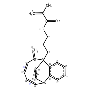 C=C(C)C(=O)OCCCC12C(=C)/C=C\C=C/C(c3ccccc31)c1ccccc12